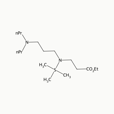 CCCN(CCC)CCCN(CCC(=O)OCC)S(C)(C)C